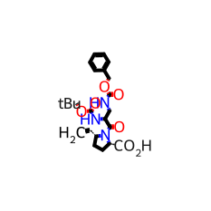 C=C[C@H]1CC[C@@H](C(=O)O)N1C(=O)C(CNC(=O)OCc1ccccc1)NC(=O)OC(C)(C)C